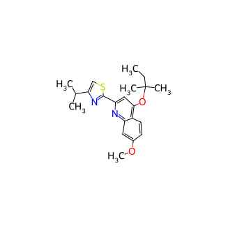 CCC(C)(C)Oc1cc(-c2nc(C(C)C)cs2)nc2cc(OC)ccc12